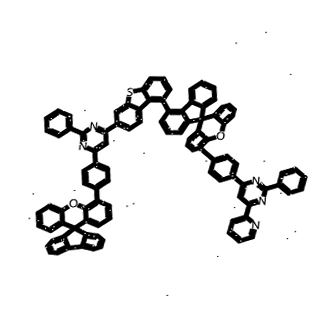 c1ccc(-c2nc(-c3ccc(-c4cccc5c4Oc4ccccc4C54c5ccccc5-c5ccccc54)cc3)cc(-c3ccc4c(c3)sc3cccc(-c5cccc6c5-c5ccccc5C65c6ccccc6Oc6c(-c7ccc(-c8cc(-c9ccccn9)nc(-c9ccccc9)n8)cc7)cccc65)c34)n2)cc1